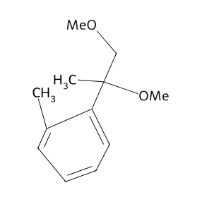 COCC(C)(OC)c1ccccc1C